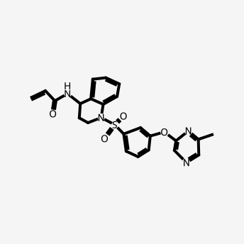 C=CC(=O)NC1CCN(S(=O)(=O)c2cccc(Oc3cncc(C)n3)c2)c2ccccc21